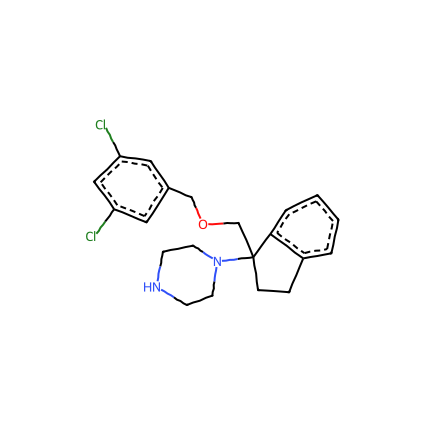 Clc1cc(Cl)cc(COCC2(N3CCNCC3)CCc3ccccc32)c1